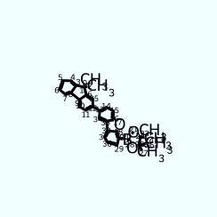 CC1(C)c2ccccc2-c2ccc(-c3ccc4oc5c(B6OC(C)(C)C(C)(C)O6)cccc5c4c3)cc21